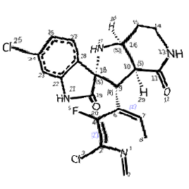 C=N/C(Cl)=C(F)\C(=C/C)[C@H]1[C@@H]2C(=O)NCC[C@@H]2N[C@@]12C(=O)Nc1cc(Cl)ccc12